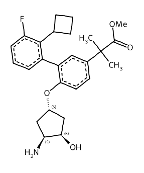 COC(=O)C(C)(C)c1ccc(O[C@@H]2C[C@@H](O)[C@@H](N)C2)c(-c2cccc(F)c2C2CCC2)c1